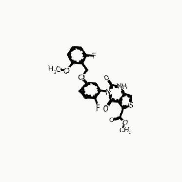 COC(=O)c1scc2[nH]c(=O)n(-c3cc(OCc4c(F)cccc4OC)ccc3F)c(=O)c12